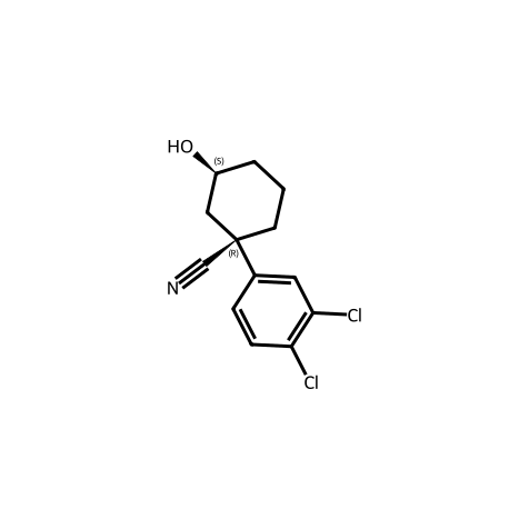 N#C[C@]1(c2ccc(Cl)c(Cl)c2)CCC[C@H](O)C1